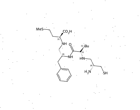 CC[C@H](C)[C@H](NC[C@@H](N)CS)C(=O)N[C@@H](CN[C@@H](CCSC)C(=O)O)Cc1ccccc1